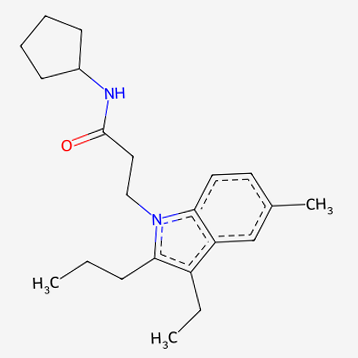 CCCc1c(CC)c2cc(C)ccc2n1CCC(=O)NC1CCCC1